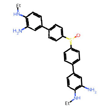 CCNc1ccc(-c2ccc([S+]([O-])c3ccc(-c4ccc(NCC)c(N)c4)cc3)cc2)cc1N